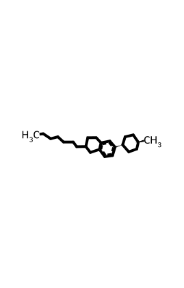 CCCCCCCC1CCc2cc([C@H]3CC[C@H](C)CC3)ccc2C1